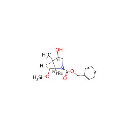 CC(C)(C)[C@]1(CO[SiH3])N(C(=O)OCc2ccccc2)C[C@H](O)C1(C)C